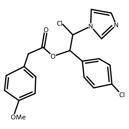 COc1ccc(CC(=O)OC(c2ccc(Cl)cc2)C(Cl)n2ccnc2)cc1